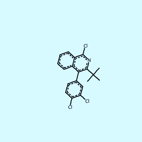 CC(C)(C)c1nc(Cl)c2ccccc2c1-c1ccc(Cl)c(Cl)c1